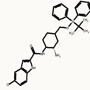 CC(C)(C)[Si](OCC1CCC(NC(=O)c2cc3cc(Cl)ccc3[nH]2)[C@@H](N)C1)(c1ccccc1)c1ccccc1